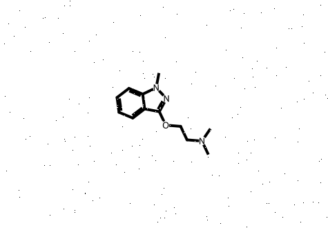 CN(C)CCOc1nn(C)c2ccccc12